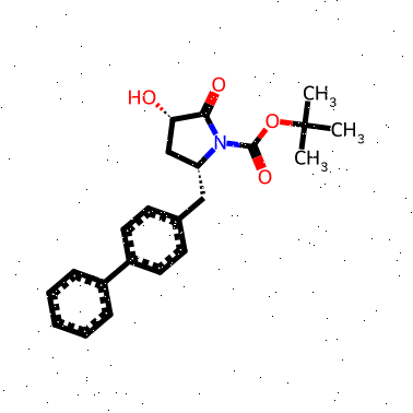 CC(C)(C)OC(=O)N1C(=O)[C@@H](O)C[C@H]1Cc1ccc(-c2ccccc2)cc1